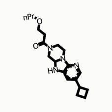 CCCOCCC(=O)N1CCN2c3ncc(C4CCC4)cc3NC2C1